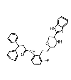 O=C(CC(c1ccccc1)c1ccccc1)Nc1cccc(F)c1CC[C@@H]1CN[C@H](c2nc3ccccc3[nH]2)CO1